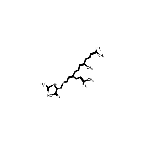 CC(=O)N[C@@H](CSC/C=C(\CC=C(C)C)CC/C=C(\C)CCC=C(C)C)C(=O)O